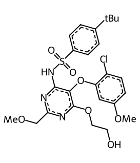 COCc1nc(NS(=O)(=O)c2ccc(C(C)(C)C)cc2)c(Oc2cc(OC)ccc2Cl)c(OCCO)n1